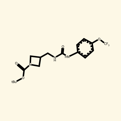 CC(C)(C)OC(=O)N1CC(CNC(=O)Nc2ccc(OC(F)(F)F)cc2)C1